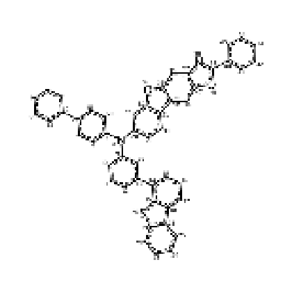 c1ccc(-c2ccc(N(c3cccc(-c4cccc5c4sc4ccccc45)c3)c3ccc4c(c3)oc3cc5nc(-c6ccccc6)oc5cc34)cc2)cc1